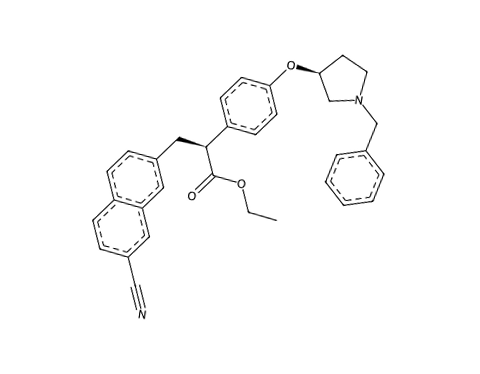 CCOC(=O)[C@@H](Cc1ccc2ccc(C#N)cc2c1)c1ccc(O[C@H]2CCN(Cc3ccccc3)C2)cc1